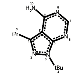 CC(C)c1nn(C(C)(C)C)c2ncnc(N)c12